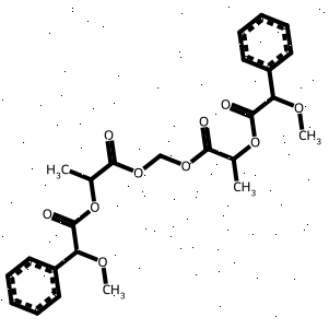 COC(C(=O)OC(C)C(=O)OCOC(=O)C(C)OC(=O)C(OC)c1ccccc1)c1ccccc1